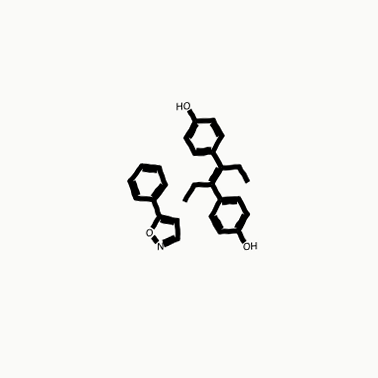 CC/C(=C(/CC)c1ccc(O)cc1)c1ccc(O)cc1.c1ccc(-c2ccno2)cc1